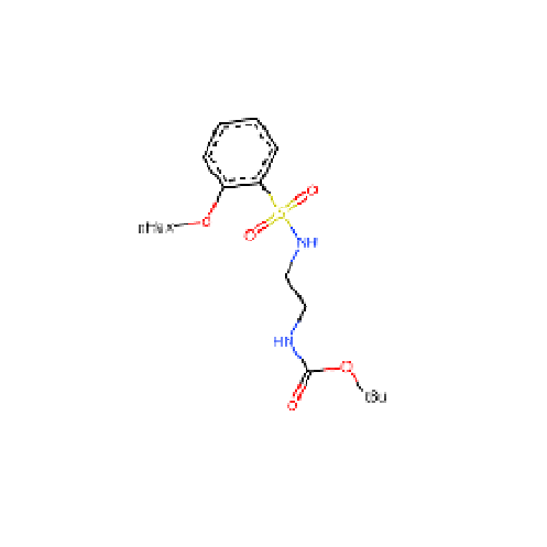 CCCCCCOc1ccccc1S(=O)(=O)NCCNC(=O)OC(C)(C)C